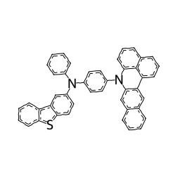 c1ccc(N(c2ccc(N3c4cc5ccccc5cc4-c4cccc5cccc3c45)cc2)c2ccc3sc4ccccc4c3c2)cc1